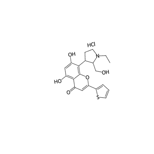 CCN1CCC(c2c(O)cc(O)c3c(=O)cc(-c4cccs4)oc23)C1CO.Cl